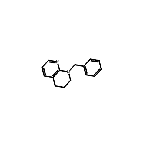 [c]1ccnc2c1CCCN2Cc1ccccc1